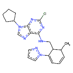 CC1C=CC=C(n2cccn2)C1CNc1nc(Cl)nc2c1ncn2C1CCCC1